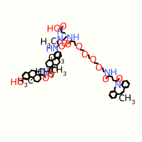 C/C1=C/c2ccccc2N(C(=O)CCC(=O)NCCOCCOCCOCCOCCC(=O)N[C@@H](CCC(=O)O)C(=O)N[C@@H](C)C(=O)Nc2ccc3c(c2)[C@@]2(C)CCC[C@](C)(C(=O)NC(=O)[C@@]4(C)CCC[C@]5(C)c6cc(O)ccc6CC[C@@H]45)[C@@H]2CC3)Cc2ccccc21